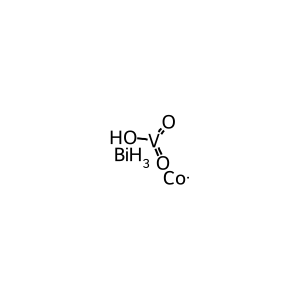 [BiH3].[Co].[O]=[V](=[O])[OH]